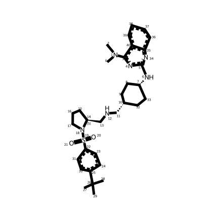 CN(C)c1nc(N[C@H]2CC[C@@H](CNC[C@@H]3CCCN3S(=O)(=O)c3ccc(C(C)(C)C)cc3)CC2)nc2ccccc12